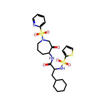 O=C1CN(S(=O)(=O)c2ccccn2)CCCC1NC(=O)C(CC1CCCCC1)NS(=O)(=O)c1cccs1